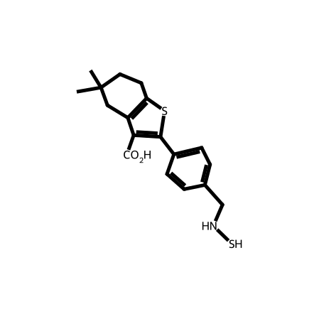 CC1(C)CCc2sc(-c3ccc(CNS)cc3)c(C(=O)O)c2C1